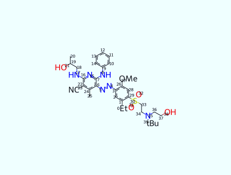 CCc1cc(/N=N/c2c(Nc3ccccc3)nc(NCC(C)O)c(C#N)c2C)c(OC)cc1S(=O)(=O)CCN(CCO)C(C)(C)C